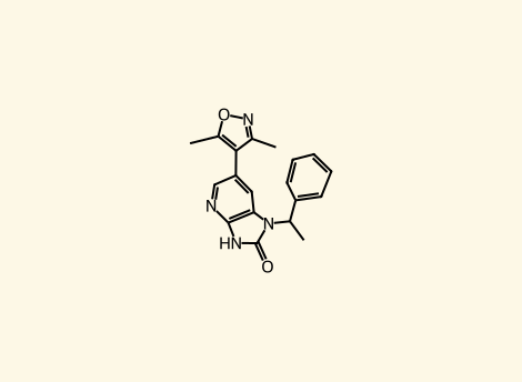 Cc1noc(C)c1-c1cnc2[nH]c(=O)n(C(C)c3ccccc3)c2c1